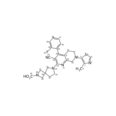 Cc1ncsc1N1CCc2c(nc(N3CCC4(CN(C(=O)O)C4)C3)c(C#N)c2-c2ccccc2F)C1